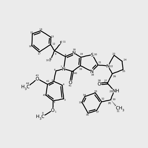 COc1ccc(Cn2c(C(F)(F)c3ccccc3)nc3sc(N4CCCC4C(=O)N[C@H](C)c4ccccc4)nc3c2=O)c(OC)c1